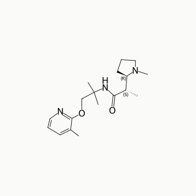 Cc1cccnc1OCC(C)(C)NC(=O)[C@@H](C)[C@H]1CCCN1C